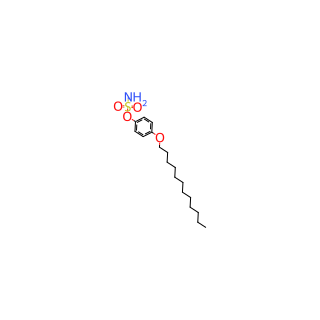 CCCCCCCCCCCCOc1ccc(OS(N)(=O)=O)cc1